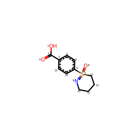 O=C(O)c1ccc(S2(=O)=NCCCC2)cc1